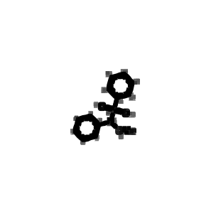 CON(c1ccccc1)S(=O)(=O)c1[c]cccc1